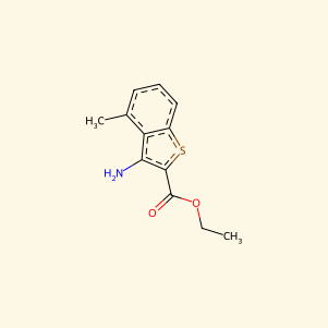 CCOC(=O)c1sc2cccc(C)c2c1N